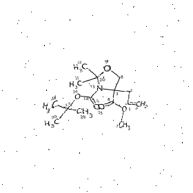 C=CCC1(C(=O)OC)COC(C)(C)N1C(=O)OC(C)(C)C